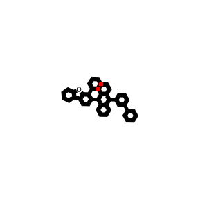 c1ccc(-c2cccc(-c3c4ccccc4c(-c4ccc5c(oc6ccccc65)c4-c4ccccc4)c4ccccc34)c2)cc1